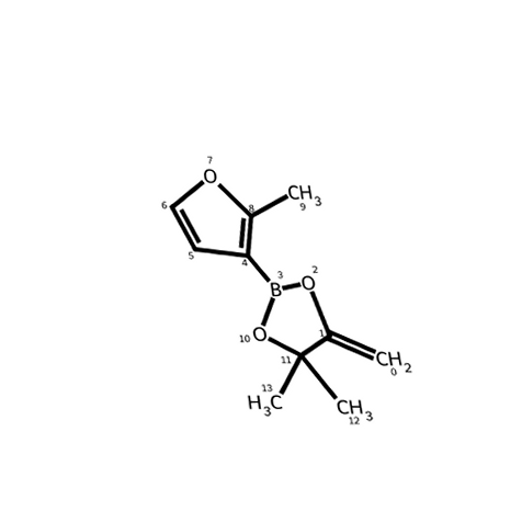 C=C1OB(c2ccoc2C)OC1(C)C